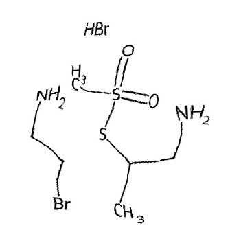 Br.CC(CN)SS(C)(=O)=O.NCCBr